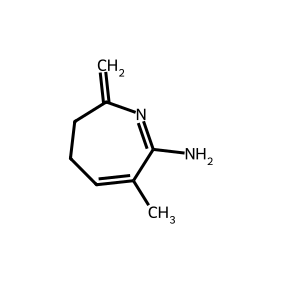 C=C1CCC=C(C)C(N)=N1